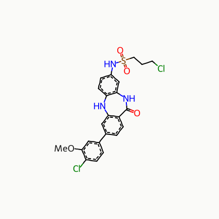 COc1cc(-c2ccc3c(c2)Nc2ccc(NS(=O)(=O)CCCCl)cc2NC3=O)ccc1Cl